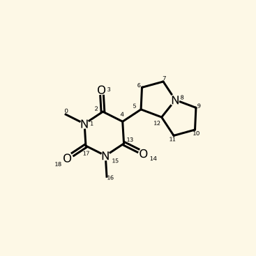 CN1C(=O)C(C2CCN3CCCC23)C(=O)N(C)C1=O